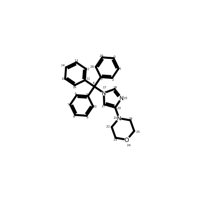 c1ccc(C(c2ccccc2)(c2ccccc2)n2cnc(N3CCOCC3)c2)cc1